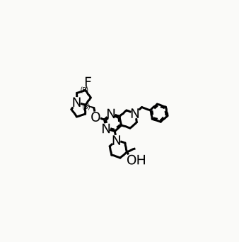 CC1(O)CCCN(c2nc(OC[C@@]34CCCN3C[C@H](F)C4)nc3c2CCN(Cc2ccccc2)C3)C1